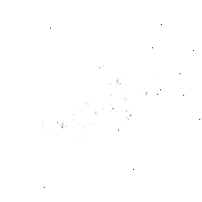 CCOCN(C(C)C)S(=O)(=O)OC(=O)CO.Cc1cccc(C)c1N